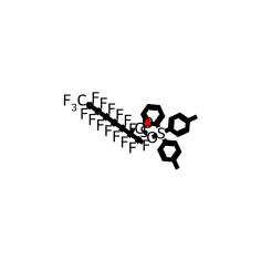 Cc1ccc(S(OS(=O)(=O)C(F)(F)C(F)(F)C(F)(F)C(F)(F)C(F)(F)C(F)(F)C(F)(F)C(F)(F)F)(c2ccccc2)c2ccc(C)cc2)cc1